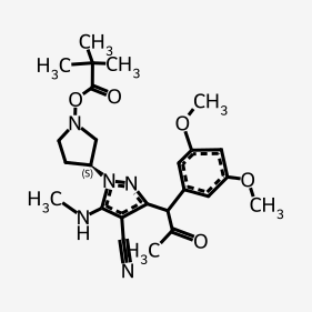 CNc1c(C#N)c(C(C(C)=O)c2cc(OC)cc(OC)c2)nn1[C@H]1CCN(OC(=O)C(C)(C)C)C1